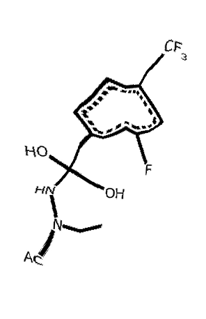 CC(=O)N(C)NC(O)(O)c1ccc(C(F)(F)F)cc1F